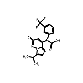 CC(C)c1cnc2c(N(C(=O)O)c3cccc(C(F)(F)F)c3)cc(Cl)nn12